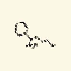 CCCC=CC=C(C(=O)O)c1ccccc1